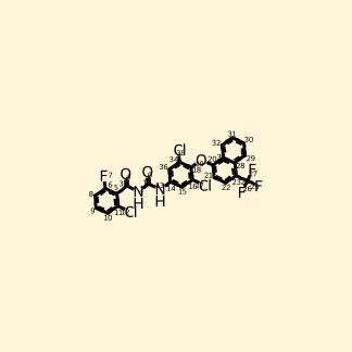 O=C(NC(=O)c1c(F)cccc1Cl)Nc1cc(Cl)c(Oc2ccc(C(F)(F)F)c3ccccc23)c(Cl)c1